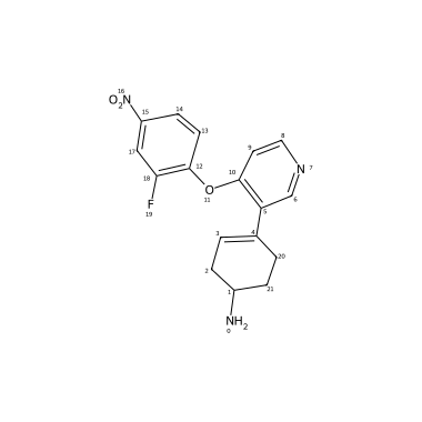 NC1CC=C(c2cnccc2Oc2ccc([N+](=O)[O-])cc2F)CC1